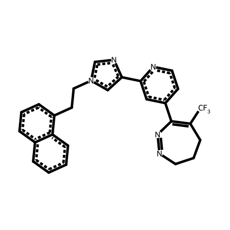 FC(F)(F)C1=C(c2ccnc(-c3cn(CCc4cccc5ccccc45)cn3)c2)N=NCCC1